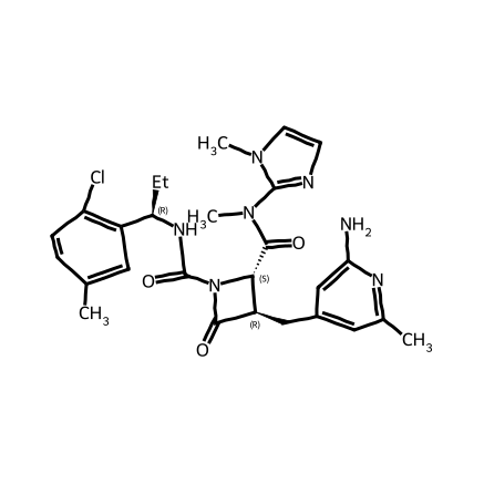 CC[C@@H](NC(=O)N1C(=O)[C@H](Cc2cc(C)nc(N)c2)[C@H]1C(=O)N(C)c1nccn1C)c1cc(C)ccc1Cl